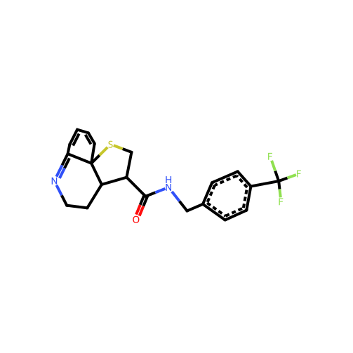 O=C(NCc1ccc(C(F)(F)F)cc1)C1CSC23C=CC=CC2=NCCC13